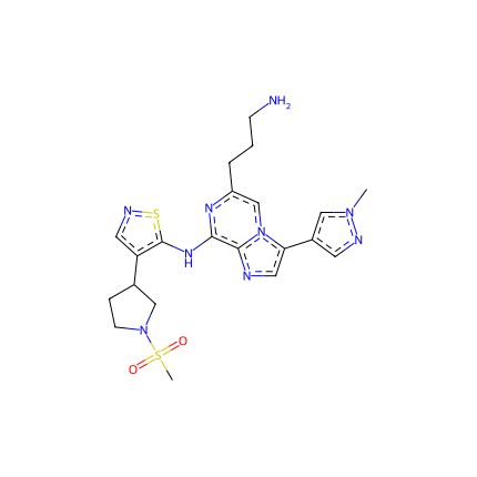 Cn1cc(-c2cnc3c(Nc4sncc4C4CCN(S(C)(=O)=O)C4)nc(CCCN)cn23)cn1